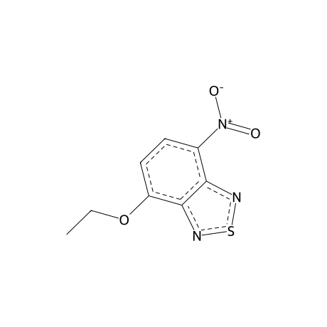 CCOc1ccc([N+](=O)[O-])c2nsnc12